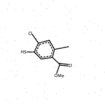 COC(=O)c1cc(S)c(Cl)cc1C